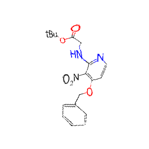 CC(C)(C)OC(=O)CNc1nccc(OCc2ccccc2)c1[N+](=O)[O-]